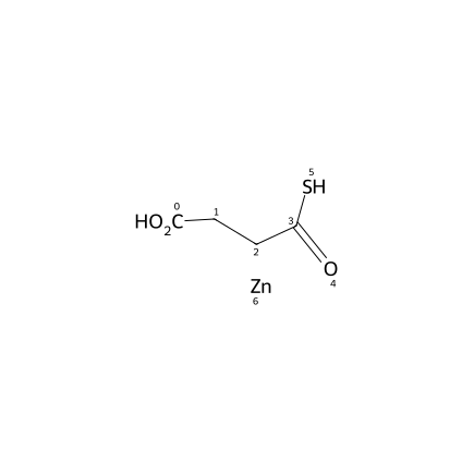 O=C(O)CCC(=O)S.[Zn]